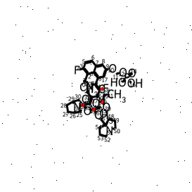 C#Cc1c(F)ccc2cc(OCOP(=O)(O)O)cc(-c3ncc4c(N5CC6CCC(C5)N6C(=O)OC(C)OC(=O)C(C)C)nc(OCC56CCCN5CCC6)nc4c3F)c12